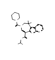 CC(C)OC(=O)C1=CN(C(=O)N2CCCCC2)CC(C)(C)c2c1[nH]c1ncccc21